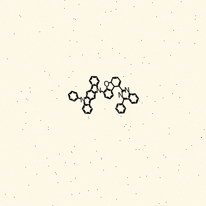 C1=CC2Oc3c(cccc3-n3c4ccccc4c4cc5c(cc43)c3ccccc3n5-c3ccccc3)C2C(c2nc(-c3ccccc3)c3ccccc3n2)=C1